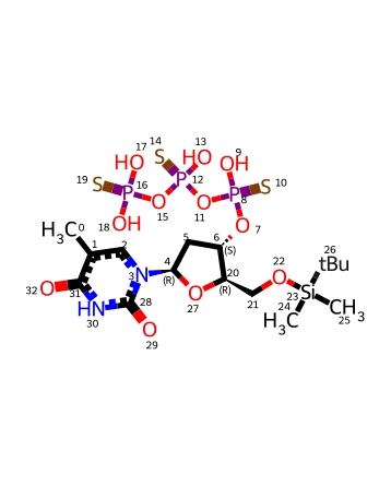 Cc1cn([C@H]2C[C@H](OP(O)(=S)OP(O)(=S)OP(O)(O)=S)[C@@H](CO[Si](C)(C)C(C)(C)C)O2)c(=O)[nH]c1=O